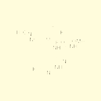 CONC(=O)c1cnc(Nc2ccc(F)cn2)cc1Nc1cccc(-c2ccn(C)n2)c1OC(F)C(F)F